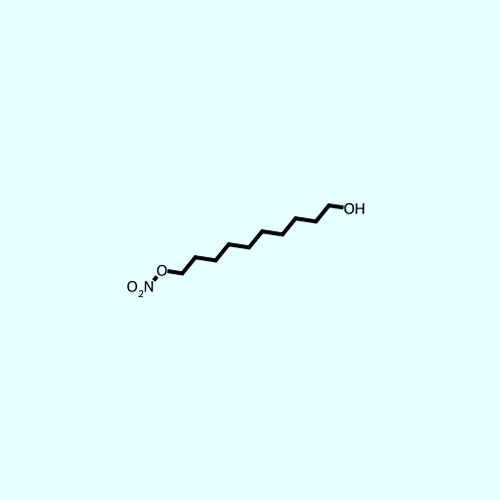 O=[N+]([O-])OCCCCCCCCCCO